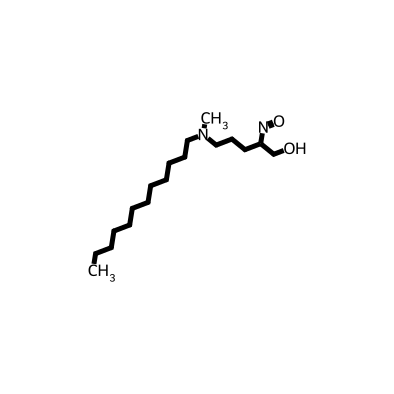 CCCCCCCCCCCCN(C)CCCC(CO)N=O